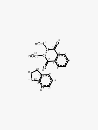 CCCCCCCCOC(=O)c1ccccc1C(=O)OCCCCCCCC.c1cnc2c(c1)CCN2